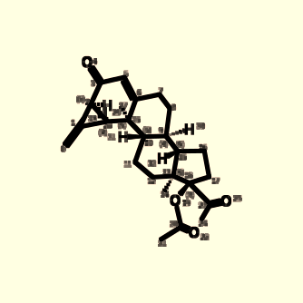 C=C1[C@H]2C(=O)C=C3CC[C@@H]4[C@H](CC[C@@]5(C)[C@H]4CC[C@]5(OC(C)=O)C(C)=O)[C@@]3(C)[C@@H]12